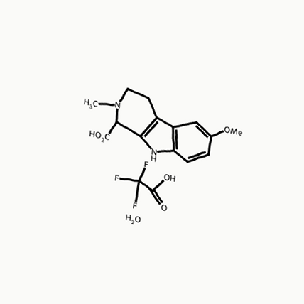 COc1ccc2[nH]c3c(c2c1)CCN(C)C3C(=O)O.O.O=C(O)C(F)(F)F